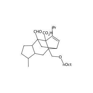 CCCCCCCCOCC12CC3C(C)CCC3C3(C=O)CC1C=C(C(C)C)C32C(=O)O